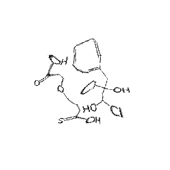 O=C(O)COCC(O)=S.OC(Cl)C(O)(Cl)Cc1ccccc1